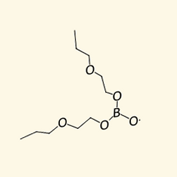 CCCOCCOB([O])OCCOCCC